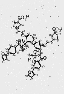 [2H]C(C)(C)N(Cc1ccccc1OCCN1CCC(C(=O)O)C1)C(=O)c1ccc(-c2ccco2)cc1.[2H]C([2H])(c1ccccc1OCCN1CCC(C(=O)O)C1)N(C(=O)c1ccc(-c2ccco2)cc1)C(C)C